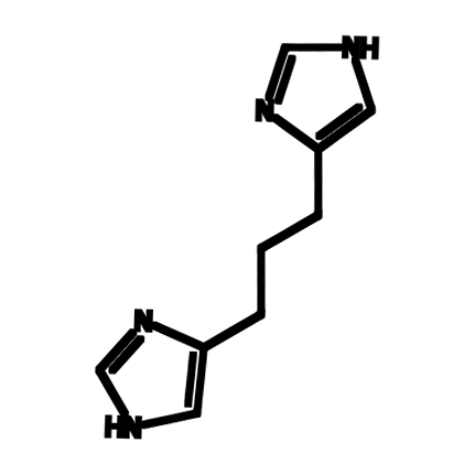 c1nc(CCCc2c[nH]cn2)c[nH]1